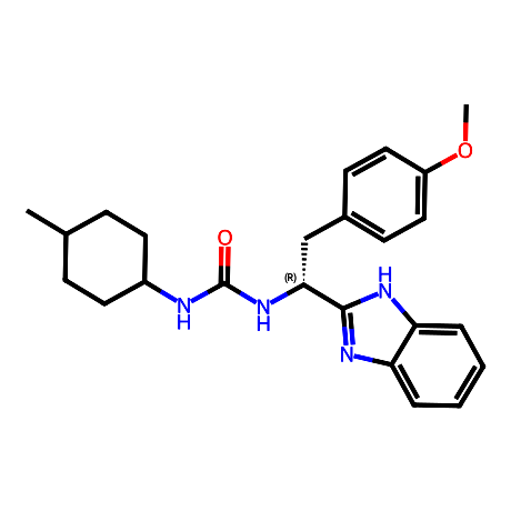 COc1ccc(C[C@@H](NC(=O)NC2CCC(C)CC2)c2nc3ccccc3[nH]2)cc1